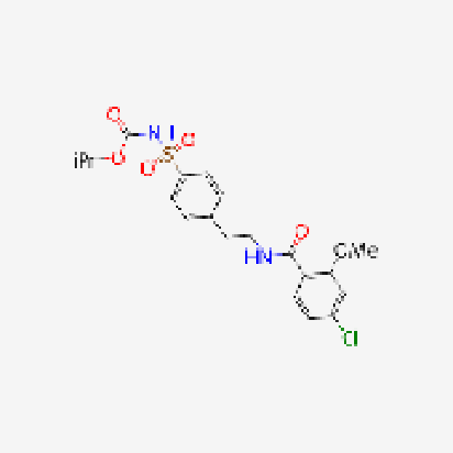 COc1cc(Cl)ccc1C(=O)NCCc1ccc(S(=O)(=O)NC(=O)OC(C)C)cc1